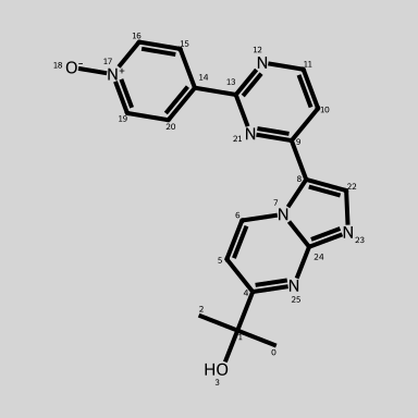 CC(C)(O)c1ccn2c(-c3ccnc(-c4cc[n+]([O-])cc4)n3)cnc2n1